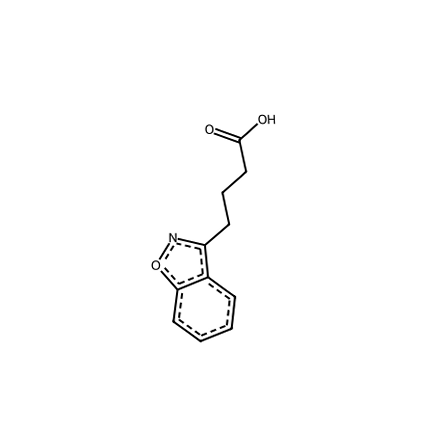 O=C(O)CCCc1noc2ccccc12